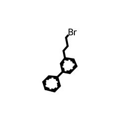 BrCCCc1cccc(-c2ccccc2)c1